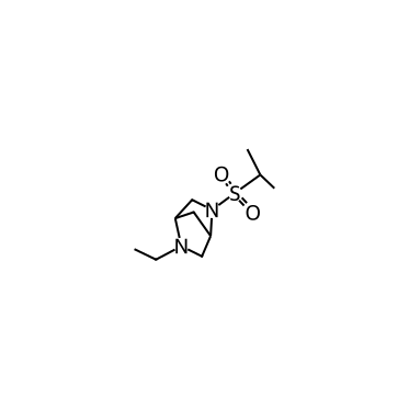 CCN1CC2CC1CN2S(=O)(=O)C(C)C